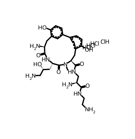 CN1C(=O)[C@H](C[C@@H](O)CN)NC(=O)[C@@H](N)Cc2cc(ccc2O)-c2ccc(O)c(c2)C[C@H]1C(=O)NC[C@H](N)C(=O)NCCN.Cl.Cl.Cl.Cl